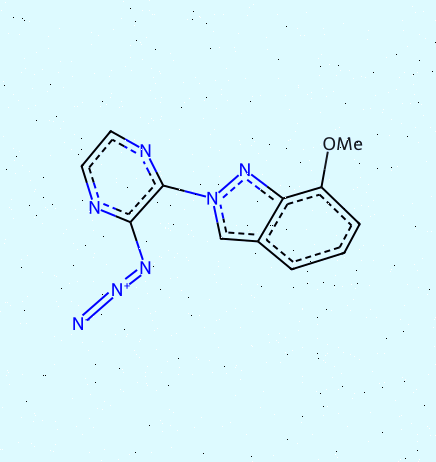 COc1cccc2cn(-c3nccnc3N=[N+]=[N-])nc12